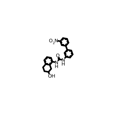 O=C(Nc1cccc(-c2cccc([N+](=O)[O-])c2)c1)Nc1cccc2c1CC(O)CC2